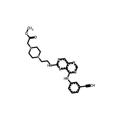 C#Cc1cccc(Nc2ncnc3cnc(NCCN4CCN(CC(=O)OC)CC4)nc23)c1